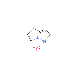 C1=Cn2nccc2C1.O